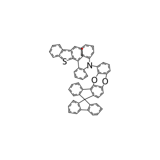 c1ccc(N(c2ccccc2-c2cccc3c2sc2ccccc23)c2cccc3c2Oc2c(ccc4c2-c2ccccc2C42c4ccccc4-c4ccccc42)O3)cc1